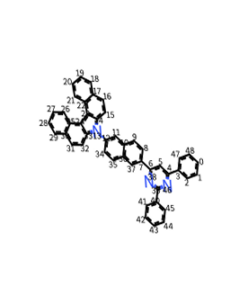 c1ccc(-c2cc(-c3ccc4cc(-n5c6ccc7ccccc7c6c6c7ccccc7ccc65)ccc4c3)nc(-c3ccccc3)n2)cc1